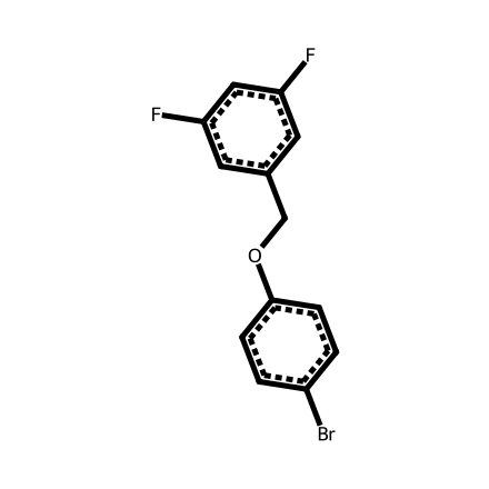 Fc1cc(F)cc(COc2ccc(Br)cc2)c1